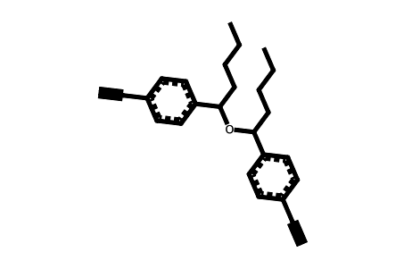 C#Cc1ccc(C(CCCC)OC(CCCC)c2ccc(C#C)cc2)cc1